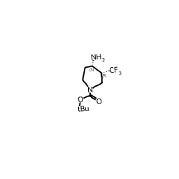 CC(C)(C)OC(=O)N1CC[C@H](N)[C@H](C(F)(F)F)C1